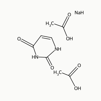 CC(=O)O.CC(=O)O.O=c1cc[nH]c(=O)[nH]1.[NaH]